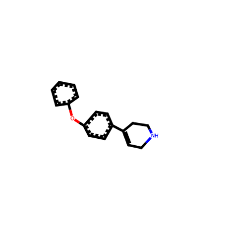 C1=C(c2ccc(Oc3ccccc3)cc2)CCNC1